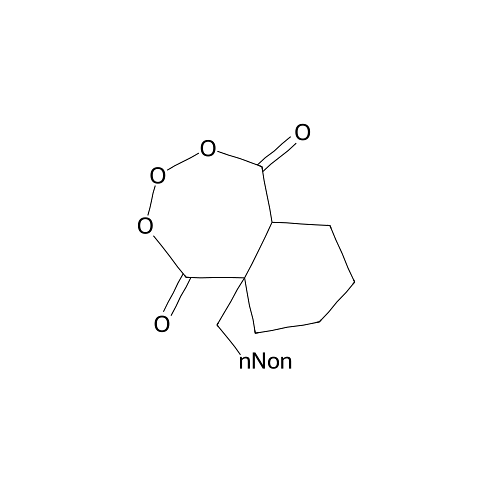 CCCCCCCCCCC12CCCCC1C(=O)OOOC2=O